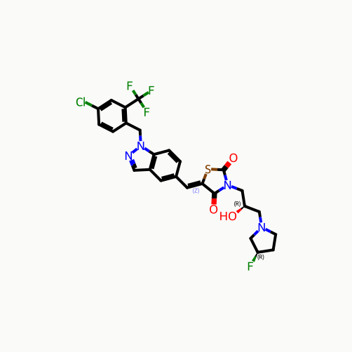 O=C1S/C(=C\c2ccc3c(cnn3Cc3ccc(Cl)cc3C(F)(F)F)c2)C(=O)N1C[C@H](O)CN1CC[C@@H](F)C1